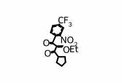 CCOC=C(C(=O)c1ccc(C(F)(F)F)cc1[N+](=O)[O-])C(=O)C1CCCC1